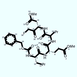 COC(=O)CC[C@H](NC(=O)[C@H](CC(C)C)NC(=O)OCc1ccccc1)C(=O)NC(C(=O)N[C@@H](CC(=O)OC)C(=O)CF)C(C)C